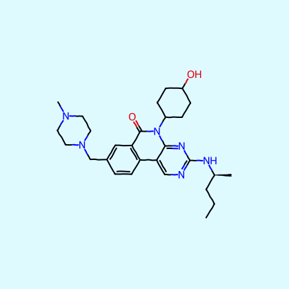 CCC[C@H](C)Nc1ncc2c3ccc(CN4CCN(C)CC4)cc3c(=O)n(C3CCC(O)CC3)c2n1